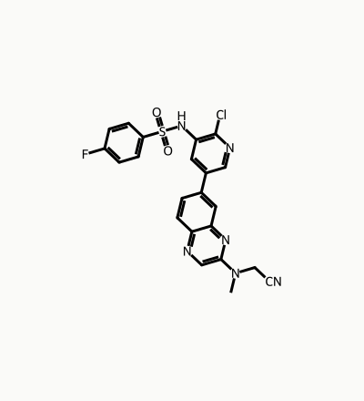 CN(CC#N)c1cnc2ccc(-c3cnc(Cl)c(NS(=O)(=O)c4ccc(F)cc4)c3)cc2n1